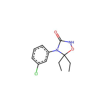 CCC1(CC)ONC(=O)N1c1cccc(Cl)c1